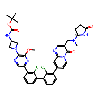 COc1nc(-c2cccc(-c3cccc(-c4ccn5c(=O)c(CN(C)[C@H]6CCC(=O)N6)cnc5c4)c3Cl)c2Cl)cnc1N1CC(NC(=O)OC(C)(C)C)C1